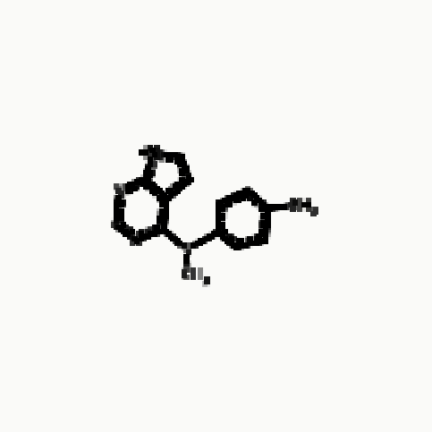 CN(c1ccc(N)cc1)c1ncnc2[nH]ccc12